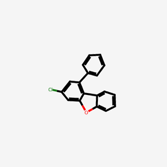 Clc1cc(-c2ccccc2)c2c(c1)oc1ccccc12